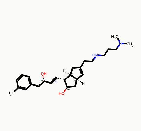 Cc1cccc(C[C@H](O)/C=C/[C@@H]2[C@H]3CC(CCNCCCN(C)C)=C[C@H]3C[C@H]2O)c1